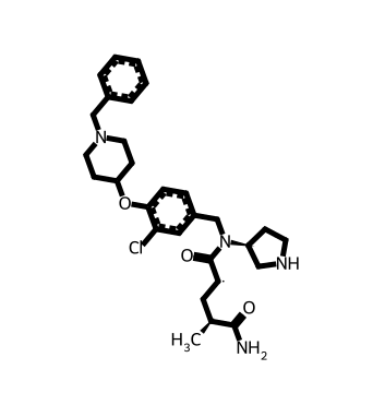 C[C@@H](C[CH]C(=O)N(Cc1ccc(OC2CCN(Cc3ccccc3)CC2)c(Cl)c1)[C@H]1CCNC1)C(N)=O